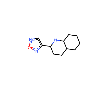 c1nonc1C1CCC2CCCCC2[N]1